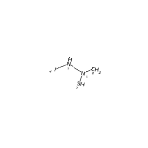 CN(S)NI